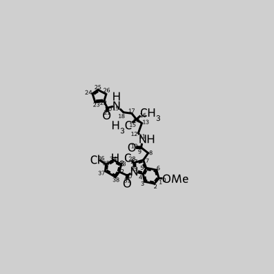 COc1ccc2c(c1)c(CC(=O)NCCC(C)(C)CCNC(=O)C1=CC=CC1)c(C)n2C(=O)c1ccc(Cl)cc1